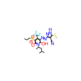 CCCS(=O)(=O)c1c(C(F)(F)F)c(N=Nc2n[nH]c(SC)c2C#N)c(O)n(C(C)CC(C)C)c1=O